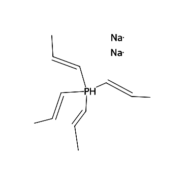 CC=C[PH](C=CC)(C=CC)C=CC.[Na].[Na]